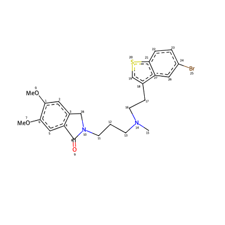 COc1cc2c(cc1OC)C(=O)N(CCCN(C)CCc1csc3ccc(Br)cc13)C2